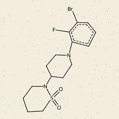 O=S1(=O)CCCCN1C1CCN(c2cccc(Br)c2F)CC1